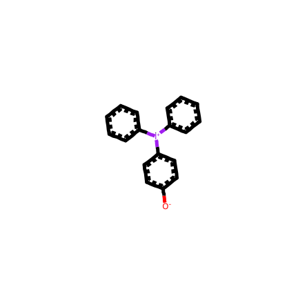 [O-]c1ccc([I+](c2ccccc2)c2ccccc2)cc1